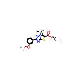 CCOC(=O)c1sc2nc(-c3cccc(OC)c3)nn2c1C